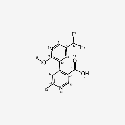 COc1ncc(C(F)F)cc1-c1cc(C)ncc1C(=O)O